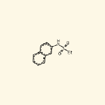 CCS(=O)(=O)Nc1ccc2ccccc2c1